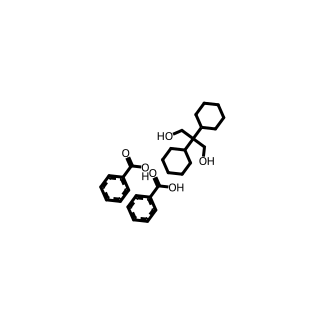 O=C(O)c1ccccc1.O=C(O)c1ccccc1.OCC(CO)(C1CCCCC1)C1CCCCC1